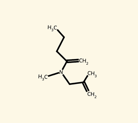 C=C(C)CN(C)C(=C)CCC